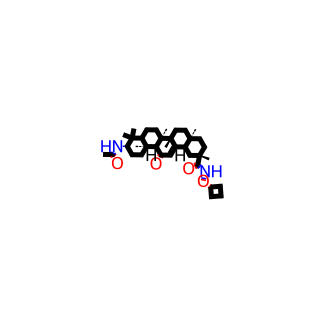 CC(=O)N[C@H]1CC[C@@]2(C)C(CC[C@]3(C)[C@@H]2C(=O)C=C2[C@@H]4C[C@@](C)(C(=O)NOC5CCC5)CC[C@]4(C)CC[C@]23C)C1(C)C